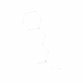 O=C(O)C(=O)CCCN1CCCCC1